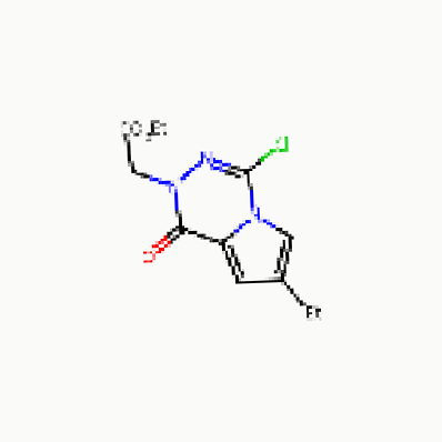 CCOC(=O)Cn1nc(Cl)n2cc(CC)cc2c1=O